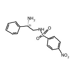 N[C@H](CNS(=O)(=O)c1ccc([N+](=O)[O-])cc1)c1ccccc1